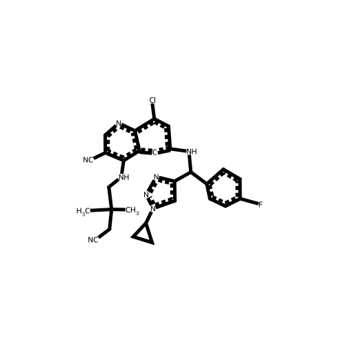 CC(C)(CC#N)CNc1c(C#N)cnc2c(Cl)cc(NC(c3ccc(F)cc3)c3cn(C4CC4)nn3)cc12